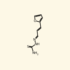 NC(=S)NN=CC=Cc1ccco1